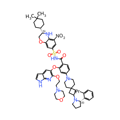 CC(C)c1ccccc1[C@@H]1CCCN1C1CC2(CCN(c3ccc(C(=O)NS(=O)(=O)c4cc5c(c([N+](=O)[O-])c4)N[C@@H](C4CCC(C)(C)CC4)CO5)c(Oc4cc5cc[nH]c5nc4OCCN4CCOCC4)c3)CC2)C1